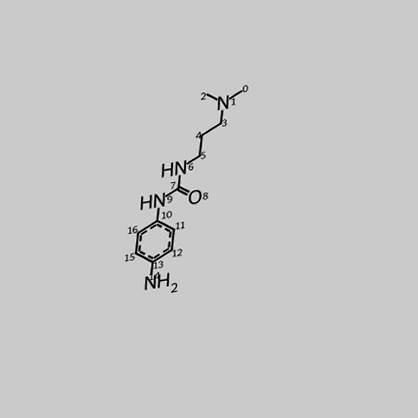 CN(C)CCCNC(=O)Nc1ccc(N)cc1